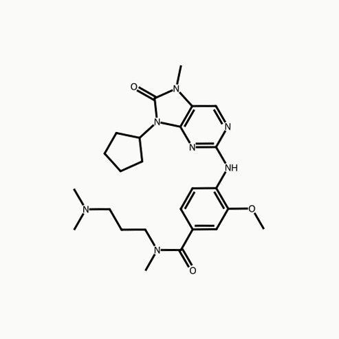 COc1cc(C(=O)N(C)CCCN(C)C)ccc1Nc1ncc2c(n1)n(C1CCCC1)c(=O)n2C